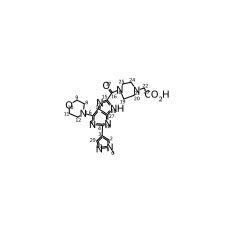 Cn1cc(-c2nc(N3CCOCC3)c3nc(C(=O)N4CCN(CC(=O)O)CC4)[nH]c3n2)cn1